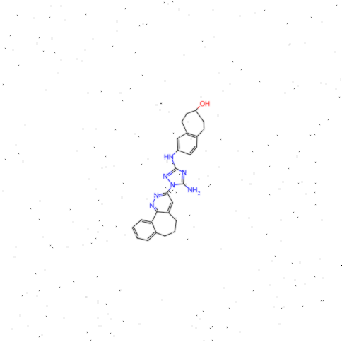 Nc1nc(Nc2ccc3c(c2)CCC(O)CC3)nn1-c1cc2c(nn1)-c1ccccc1CCC2